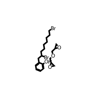 C(OCC1CO1)C1CO1.Oc1ccccc1CC(Br)CCCCCCCBr